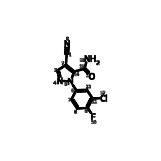 N#Cc1cnn(-c2ccc(F)c(Cl)c2)c1C(N)=O